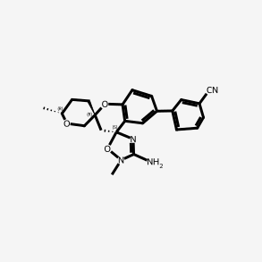 C[C@@H]1CC[C@]2(CO1)C[C@@]1(N=C(N)N(C)O1)c1cc(-c3cccc(C#N)c3)ccc1O2